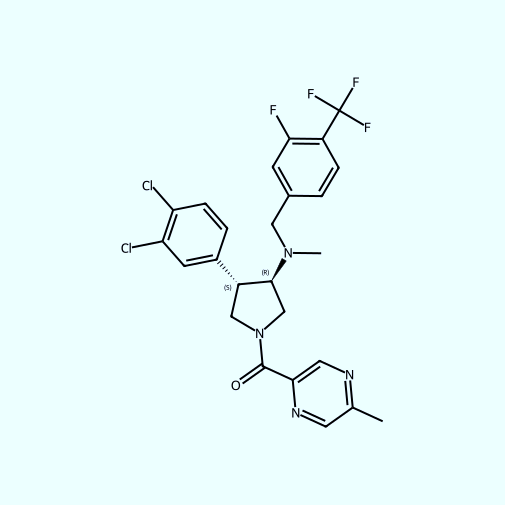 Cc1cnc(C(=O)N2C[C@H](c3ccc(Cl)c(Cl)c3)[C@@H](N(C)Cc3ccc(C(F)(F)F)c(F)c3)C2)cn1